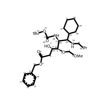 COCO[C@@H]([C@@H](O)CC(=O)OCc1ccccc1)[C@@H](NC(=O)OC(C)(C)C)C(NCC(C)C)C1CCCCC1